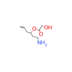 C=CCC(CCN)OC(=O)CO